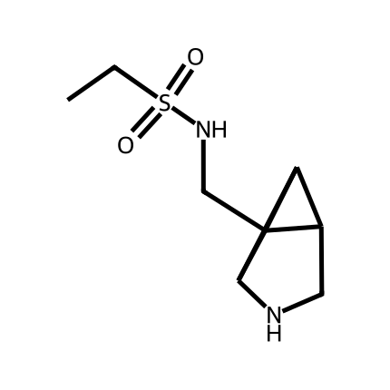 CCS(=O)(=O)NCC12C3CNC1C32